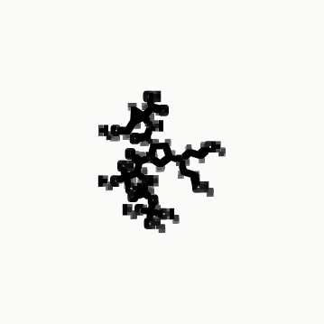 C=CCN(CC=C)[C@@H]1C[C@@H](C(=O)NC2(C(=O)O)CC2C=C)N(C(=O)[C@@H](NC(=O)OC(C)(C)C)C(C)(C)C)C1